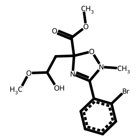 COC(=O)C1(CC(O)OC)N=C(c2ccccc2Br)N(C)O1